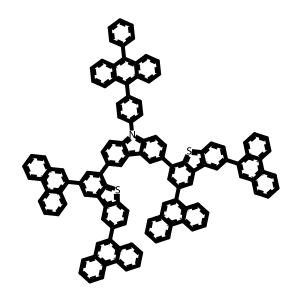 c1ccc(-c2c3ccccc3c(-c3ccc(-n4c5ccc(-c6cc(-c7cc8ccccc8c8ccccc78)cc7c6sc6ccc(-c8cc9ccccc9c9ccccc89)cc67)cc5c5cc(-c6cc(-c7cc8ccccc8c8ccccc78)cc7c6sc6ccc(-c8cc9ccccc9c9ccccc89)cc67)ccc54)cc3)c3ccccc23)cc1